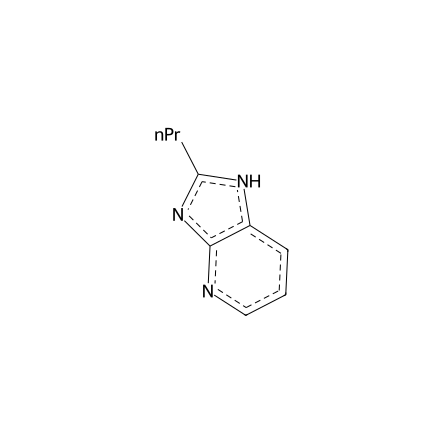 CCCc1nc2ncccc2[nH]1